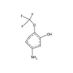 Nc1ccc(OC(F)(F)F)c(O)c1